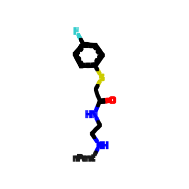 CCCCCNCCNC(=O)CSc1ccc(F)cc1